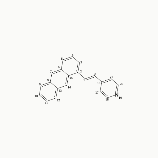 C(=Cc1cccc2cc3ccccc3cc12)c1ccncc1